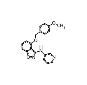 COc1ccc(COc2cccc3onc(Nc4cccnc4)c23)cc1